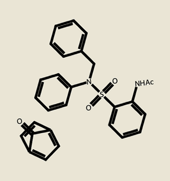 CC(=O)Nc1ccccc1S(=O)(=O)N(Cc1ccccc1)c1ccccc1.O=C1C2=CC=C1C=C2